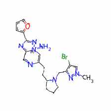 Cn1cc(Br)c(CN2CCCC2CCC2=C[N@@+]3(N)N=C(c4ccco4)N=C3C=N2)n1